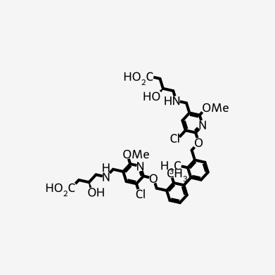 COc1nc(OCc2cccc(-c3cccc(COc4nc(OC)c(CNC[C@@H](O)CC(=O)O)cc4Cl)c3C)c2C)c(Cl)cc1CNC[C@@H](O)CC(=O)O